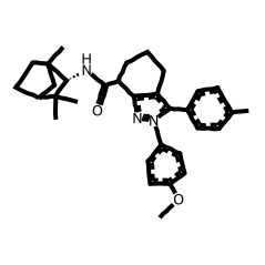 COc1ccc(-n2nc3c(c2-c2ccc(C)cc2)CCCC3C(=O)N[C@H]2C3(C)CCC(C3)C2(C)C)cc1